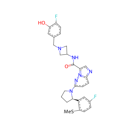 CSc1ccc(F)cc1[C@H]1CCCN1c1ccc2ncc(C(=O)NC3CN(Cc4ccc(F)c(O)c4)C3)n2n1